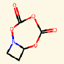 O=C1OC(=O)ON2CCC2O1